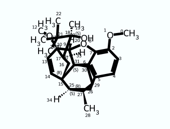 COc1ccc2c3c1O[C@H]1[C@@]4(OC)C=C[C@@]5(C[C@@H]4[C@](C)(O)C(C)(C)C)[C@@H](C2)[C@H](C)CC[C@]315